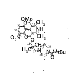 COC(=O)C1=C(C)NC(C)=C(C(=O)OCC(C)(C)CN2CCCN(C(=O)OC(C)(C)C)CC2)C1c1cccc([N+](=O)[O-])c1